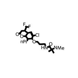 CCCC1C(OCCCNC(=O)C(C)(C)NC)C(Cl)=CC2C(C(F)F)CC(=O)OC21